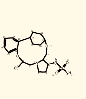 CCC1CN2CC[C@H](NS(C)(=O)=O)C2COC2CCC(CC2)c2ccccc2O1